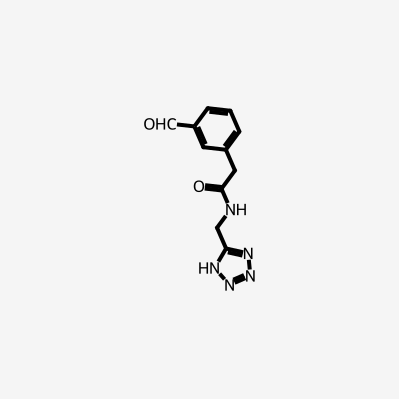 O=Cc1cccc(CC(=O)NCc2nnn[nH]2)c1